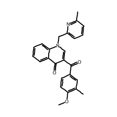 COc1ccc(C(=O)c2cn(Cc3cccc(C)n3)c3ccccc3c2=O)cc1C